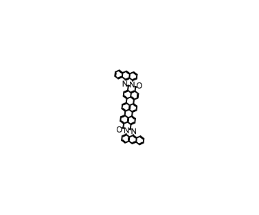 O=c1c2ccc3c4ccc5c6ccc7c8c(ccc(c9ccc(c%10ccc(c2c3%10)c2nc3c%10ccccc%10cc%10cccc(c%103)n12)c4c95)c68)c(=O)n1c2cccc3cc4ccccc4c(nc71)c32